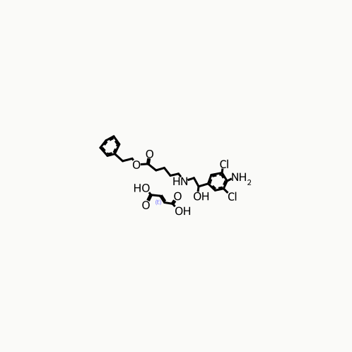 Nc1c(Cl)cc(C(O)CNCCCCC(=O)OCCc2ccccc2)cc1Cl.O=C(O)/C=C/C(=O)O